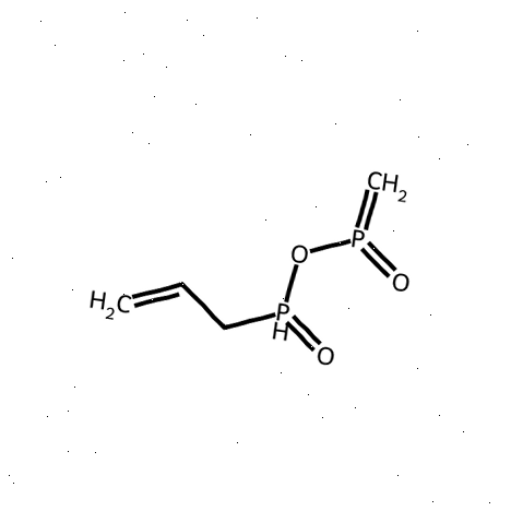 C=CC[PH](=O)OP(=C)=O